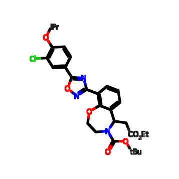 CCOC(=O)CC1c2cccc(-c3noc(-c4ccc(OC(C)C)c(Cl)c4)n3)c2OCCN1C(=O)OC(C)(C)C